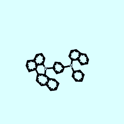 c1ccc(N(c2ccc(N3c4c(ccc5ccccc45)-c4cccc5cccc3c45)cc2)c2cccc3ccccc23)cc1